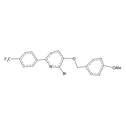 COc1ccc(COc2ccc(-c3ccc(C(F)(F)F)cc3)nc2Br)cc1